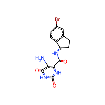 Nc1c(C(=O)N[C@@H]2CCc3cc(Br)ccc32)[nH]c(=O)[nH]c1=O